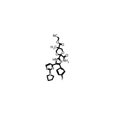 CC1(C(=O)OCC#N)COC(C(N)=O)(c2nc(-c3ccc(F)cc3)c(-c3ccnc(N4CCCC4)n3)[nH]2)OC1